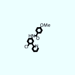 COc1ccc(C(=O)Nc2ccc(Cl)c(-c3ccccn3)c2)cc1